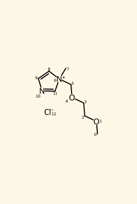 COCCOC[N+]1(C)C=CN=C1.[Cl-]